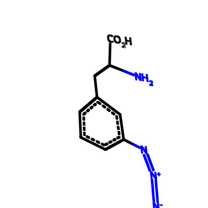 [N-]=[N+]=Nc1cccc(CC(N)C(=O)O)c1